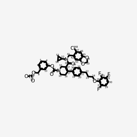 O=C(Oc1cccc(CO[N+](=O)[O-])c1)N1CCC(c2ccc(CCCOc3c(F)ccc(F)c3F)cc2)=C(C(=O)N(Cc2cc3c(cc2Cl)OCO3)C2CC2)C1